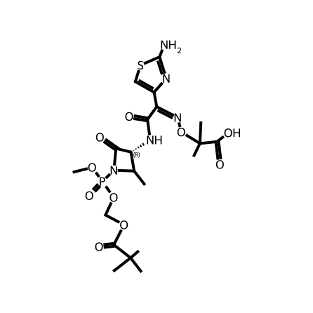 COP(=O)(OCOC(=O)C(C)(C)C)N1C(=O)[C@H](NC(=O)C(=NOC(C)(C)C(=O)O)c2csc(N)n2)C1C